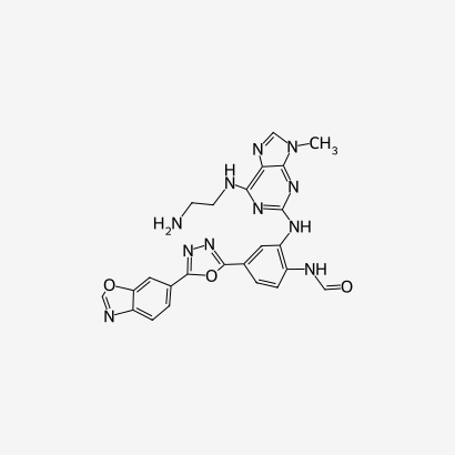 Cn1cnc2c(NCCN)nc(Nc3cc(-c4nnc(-c5ccc6ncoc6c5)o4)ccc3NC=O)nc21